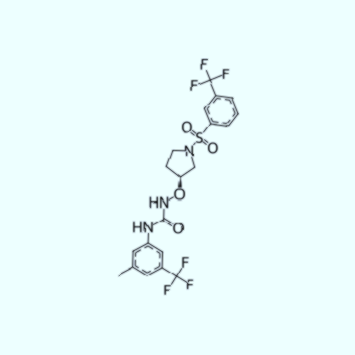 Cc1cc(NC(=O)NO[C@H]2CCN(S(=O)(=O)c3cccc(C(F)(F)F)c3)C2)cc(C(F)(F)F)c1